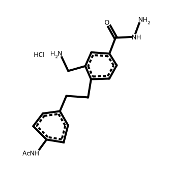 CC(=O)Nc1ccc(CCc2ccc(C(=O)NN)cc2CN)cc1.Cl